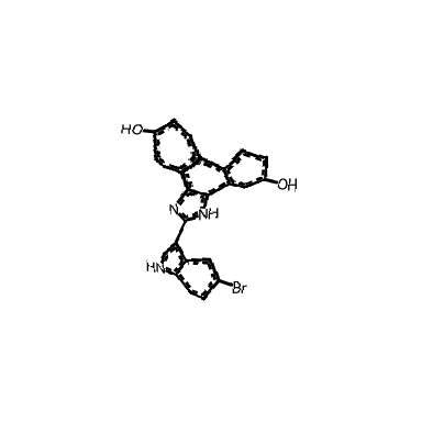 Oc1ccc2c3ccc(O)cc3c3[nH]c(-c4c[nH]c5ccc(Br)cc45)nc3c2c1